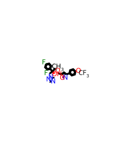 C[C@@H](OCc1cc(-c2ccc(OC(F)(F)F)cc2)no1)C(O)(Cn1cncn1)c1ccc(F)cc1F